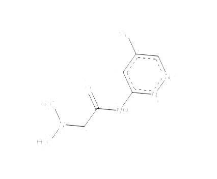 CC(C)c1cnnc(NC(=O)CN(C)C)c1